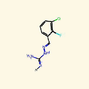 [H]/N=C(\N)NN=Cc1cccc(Cl)c1F